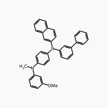 COc1cccc(N(C)c2ccc(N(c3cccc(-c4ccccc4)c3)c3ccc4ccccc4c3)cc2)c1